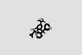 Cc1noc(C)c1-c1cc(C(F)(c2cccnc2)c2cccnc2)c2nc(C3CC3)[nH]c2c1